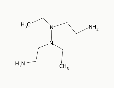 CCN(CCN)N(CC)CCN